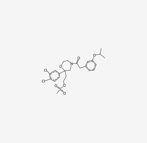 CC(C)Oc1cccc(CC(=O)N2CCOC(CCOS(C)(=O)=O)(c3ccc(Cl)c(Cl)c3)C2)c1